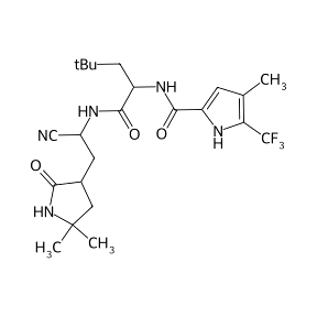 Cc1cc(C(=O)NC(CC(C)(C)C)C(=O)NC(C#N)CC2CC(C)(C)NC2=O)[nH]c1C(F)(F)F